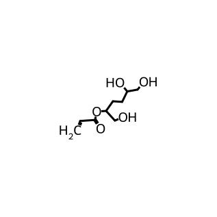 C=CC(=O)OC(CO)CCC(O)CO